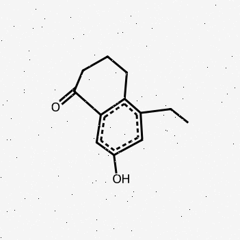 CCc1cc(O)cc2c1CCCC2=O